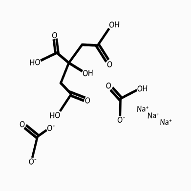 O=C(O)CC(O)(CC(=O)O)C(=O)O.O=C([O-])O.O=C([O-])[O-].[Na+].[Na+].[Na+]